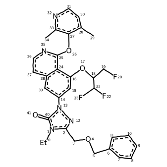 CCn1c(COCc2ccccc2)nn(-c2cc(OC(CF)C(F)F)c3c(Oc4c(C)ccnc4C)nccc3c2)c1=O